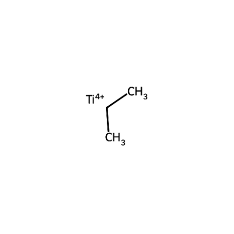 CCC.[Ti+4]